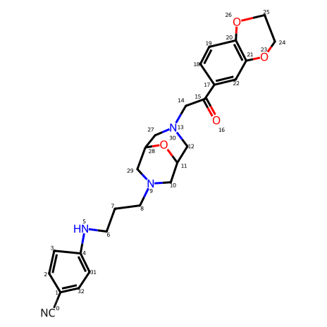 N#Cc1ccc(NCCCN2CC3CN(CC(=O)c4ccc5c(c4)OCCO5)CC(C2)O3)cc1